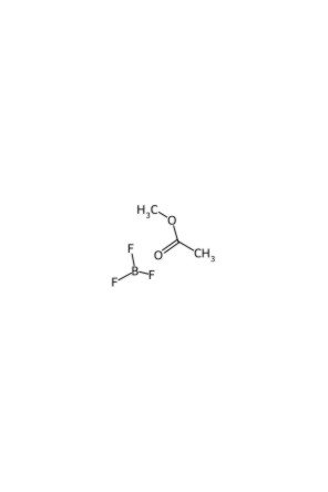 COC(C)=O.FB(F)F